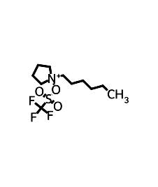 CCCCCC[N+]1(OS(=O)(=O)C(F)(F)F)CCCC1